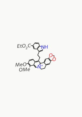 CCOC(=O)c1ccc2[nH]cc(CCc3c4[n+](cc5c(OC)c(OC)ccc35)CCc3cc5c(cc3-4)OCO5)c2c1